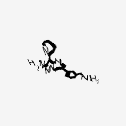 NCc1cccc(-c2cnc3c(-c4ccccn4)c(N)nn3c2)c1